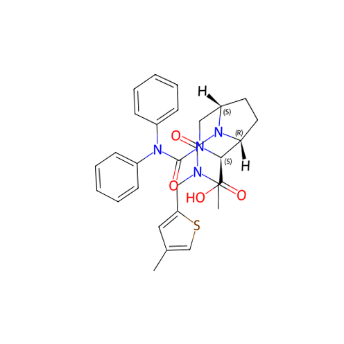 CCN(Cc1cc(C)cs1)C(=O)N1[C@H]2CC[C@@H]1[C@@H](C(=O)O)N(C(=O)N(c1ccccc1)c1ccccc1)C2